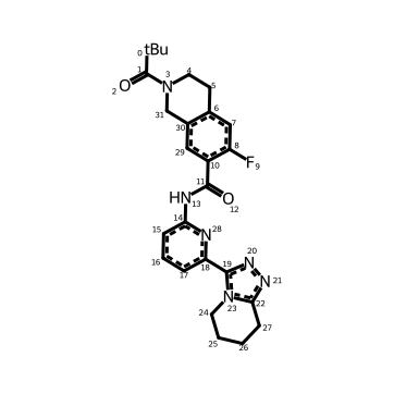 CC(C)(C)C(=O)N1CCc2cc(F)c(C(=O)Nc3cccc(-c4nnc5n4CCCC5)n3)cc2C1